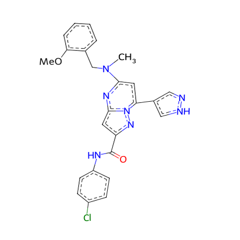 COc1ccccc1CN(C)c1cc(-c2cn[nH]c2)n2nc(C(=O)Nc3ccc(Cl)cc3)cc2n1